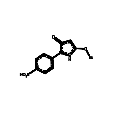 CCOc1cc(=O)n(-c2ccc(S(=O)(=O)O)cc2)[nH]1